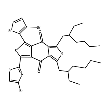 CCCCC(CC)Cc1sc(CC(CC)CCCC)c2c1C(=O)c1c(-c3nc(Br)cs3)sc(-c3[se]ccc3Br)c1C2=O